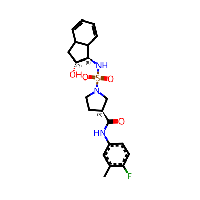 Cc1cc(NC(=O)[C@H]2CCN(S(=O)(=O)N[C@@H]3C4C=CC=CC4C[C@H]3O)C2)ccc1F